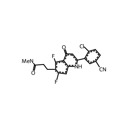 CNC(=O)CCc1c(F)cc2[nH]c(-c3cc(C#N)ccc3Cl)cc(=O)c2c1F